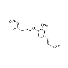 COc1cc(/C=C/C(=O)O)ccc1OCCCC(C)O[N+](=O)[O-]